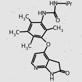 Cc1c(C)c(NC(=O)NC(C)C)c(C)c(Oc2ccnc3c2CC(=O)N3)c1C